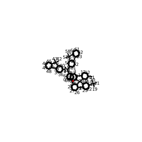 Cc1ccc2c(c1)C1(c3cc(C)ccc3-2)c2cc(C(C)(C)C)ccc2-c2cccc(-c3ccc(N(c4ccc5c(c4)C(C)(C)c4ccccc4-5)c4ccc5c(c4)C(C)(C)c4ccccc4-5)cc3)c21